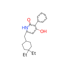 CCC1(CC)CCC(Cc2cc(O)c(-c3ccccc3)c(=O)[nH]2)CC1